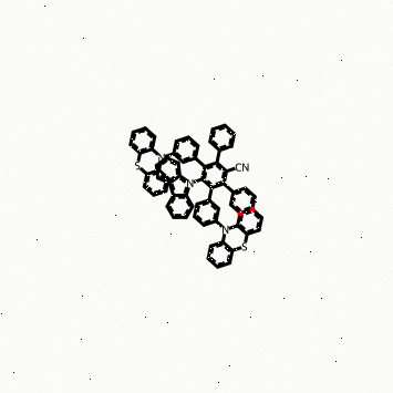 N#Cc1c(-c2ccccc2)c(-c2cccc(N3c4ccccc4Sc4ccccc43)c2)c(-n2c3ccccc3c3ccccc32)c(-c2cccc(N3c4ccccc4Sc4ccccc43)c2)c1-c1ccccc1